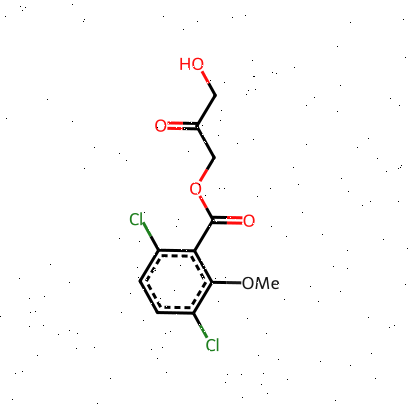 COc1c(Cl)ccc(Cl)c1C(=O)OCC(=O)CO